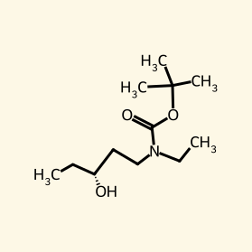 CC[C@@H](O)CCN(CC)C(=O)OC(C)(C)C